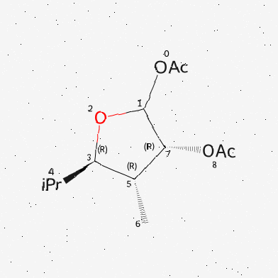 CC(=O)OC1O[C@H](C(C)C)[C@@H](C)[C@H]1OC(C)=O